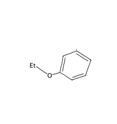 CCOc1c[c]ccc1